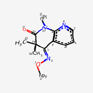 CCCON=C1c2cccnc2N(CCC)C(=O)C1(C)C